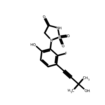 CC(C)(O)C#Cc1ccc(O)c(N2CC(=O)NS2(=O)=O)c1F